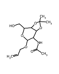 C=CCOC1OC(CO)C2OC(C)(C)OC2C1NC(C)=O